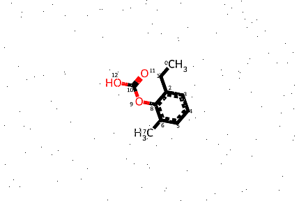 CCc1cccc(C)c1OC(=O)O